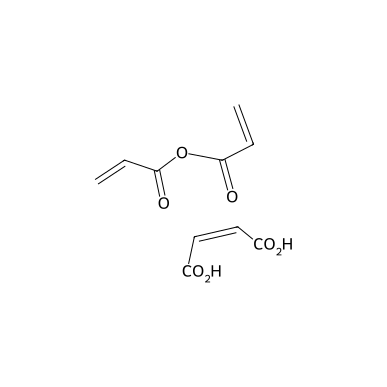 C=CC(=O)OC(=O)C=C.O=C(O)/C=C\C(=O)O